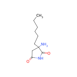 CCCCCCC1(N)CC(=O)NC1=O